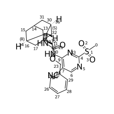 CS(=O)(=O)c1ncc(C#N)c(NC[C@]23CC4C[C@H](C2)[C@@H](NC(=O)OCc2ccccc2)[C@@H](C4)C3)n1